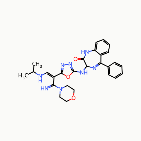 CC(C)N/C=C(\C(=N)N1CCOCC1)c1nnc(NC2N=C(c3ccccc3)c3ccccc3NC2=O)o1